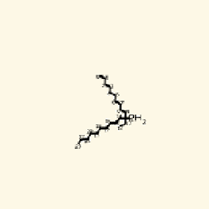 CCCCCCCCCCC(P)(CC)CCCCCCCCCC